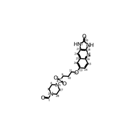 O=CN1CCN(S(=O)(=O)CCCOc2ccc3nc4[nH]c(=O)[nH]c4cc3c2)CC1